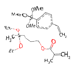 C=C(C)C(=O)OCCC[Si](C)(OCC)OCC.C=Cc1ccc([Si](OC)(OC)OC)cc1